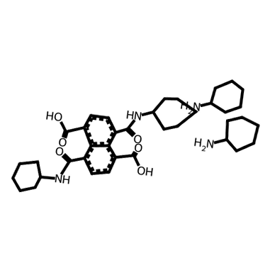 NC1CCCCC1.NC1CCCCC1.O=C(O)c1ccc(C(=O)NC2CCCCC2)c2c(C(=O)O)ccc(C(=O)NC3CCCCC3)c12